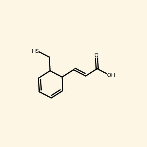 O=C(O)C=CC1C=CC=CC1CS